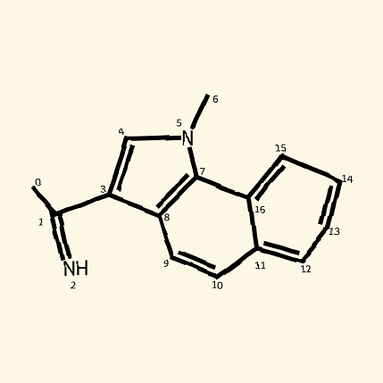 CC(=N)c1cn(C)c2c1ccc1ccccc12